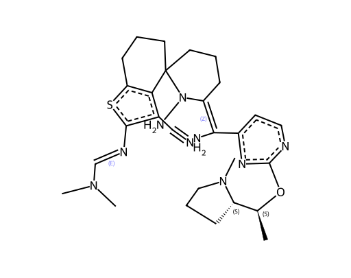 C[C@H](Oc1nccc(/C(N)=C2\CCCC3(CCCc4sc(/N=C/N(C)C)c(C#N)c43)N2N)n1)[C@@H]1CCCN1C